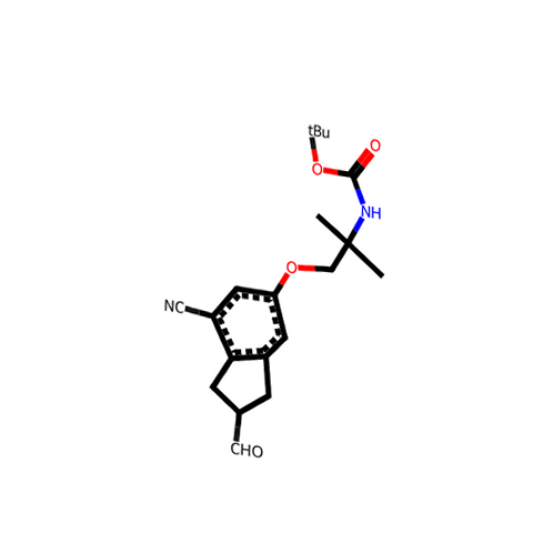 CC(C)(COc1cc(C#N)c2c(c1)CC(C=O)C2)NC(=O)OC(C)(C)C